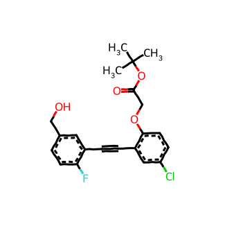 CC(C)(C)OC(=O)COc1ccc(Cl)cc1C#Cc1cc(CO)ccc1F